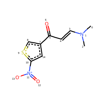 CN(C)C=CC(=O)c1csc([N+](=O)[O-])c1